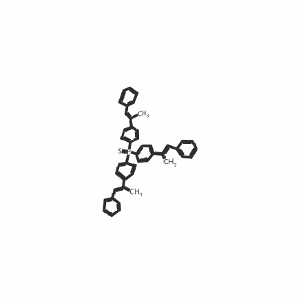 C/C(=C\c1ccccc1)c1ccc(P(=S)(c2ccc(/C(C)=C/c3ccccc3)cc2)c2ccc(/C(C)=C/c3ccccc3)cc2)cc1